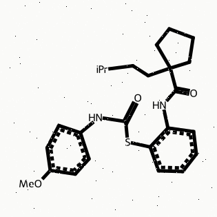 COc1ccc(NC(=O)Sc2ccccc2NC(=O)C2(CCC(C)C)CCCC2)cc1